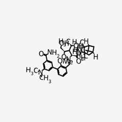 COc1c(CN2O[C@@H](CO)C(C(C)O)[C@H]2C(=O)N[C@H]2C[C@H]3C[C@@H]([C@@H]2C)C3(C)C)cccc1-c1cc(C(N)=O)cc(N(C)C)c1